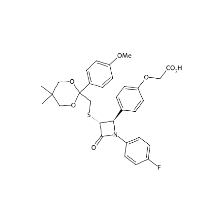 COc1ccc(C2(CS[C@H]3C(=O)N(c4ccc(F)cc4)[C@@H]3c3ccc(OCC(=O)O)cc3)OCC(C)(C)CO2)cc1